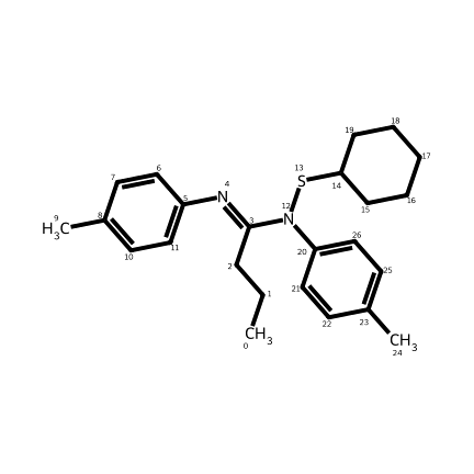 CCC/C(=N\c1ccc(C)cc1)N(SC1CCCCC1)c1ccc(C)cc1